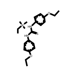 CCOc1ccc(NC(=S)Nc2ccc(OCC)cc2)cc1.CC[N+](C)(C)C